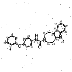 Cc1ncccc1Oc1ccc(NC(=O)N2CCc3c(n(C)c4ccccc34)CC2)cn1